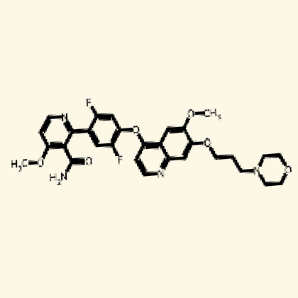 COc1cc2c(Oc3cc(F)c(-c4nccc(OC)c4C(N)=O)cc3F)ccnc2cc1OCCCN1CCOCC1